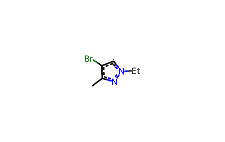 CCn1[c]c(Br)c(C)n1